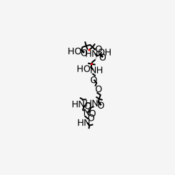 CC(C)NC(=O)CN(CC(=O)NC(C)C)C(=O)CCNC(=O)C(C)(C)CCOCCOCCNC(O)C(C)(C)CC[C@H](NC(=O)C(C)(C)CC(C)(C)CC(=O)O)C(=O)O